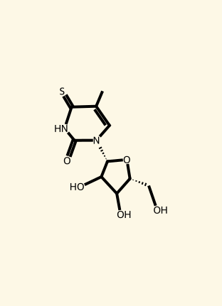 Cc1cn([C@@H]2O[C@H](CO)C(O)C2O)c(=O)[nH]c1=S